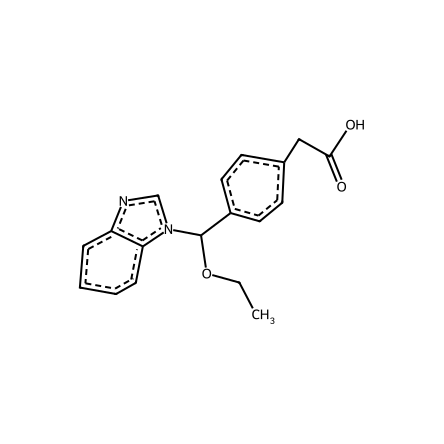 CCOC(c1ccc(CC(=O)O)cc1)n1cnc2ccccc21